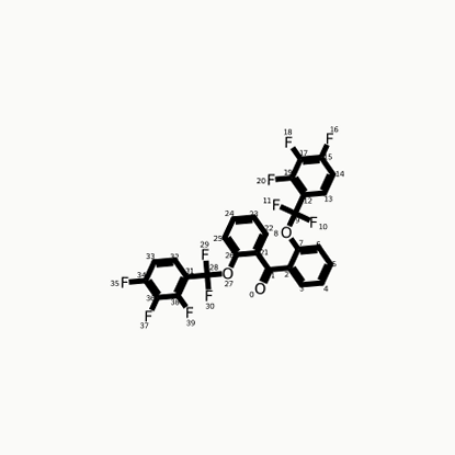 O=C(c1ccccc1OC(F)(F)c1ccc(F)c(F)c1F)c1ccccc1OC(F)(F)c1ccc(F)c(F)c1F